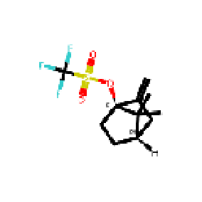 C=C1C[C@@H]2CC[C@@]1(OS(=O)(=O)C(F)(F)F)C2(C)C